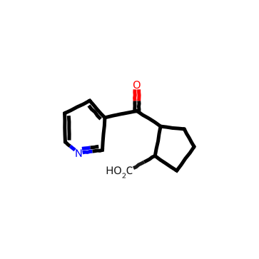 O=C(O)C1CCCC1C(=O)c1cccnc1